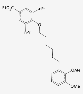 CCCc1cc(C(=O)OCC)cc(CCC)c1OCCCCCCc1cccc(OC)c1OC